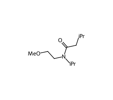 COCCN(C(=O)CC(C)C)C(C)C